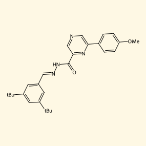 COc1ccc(-c2cncc(C(=O)N/N=C/c3cc(C(C)(C)C)cc(C(C)(C)C)c3)n2)cc1